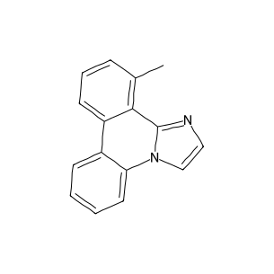 Cc1cccc2c3ccccc3n3ccnc3c12